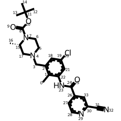 Cc1c(CN2CCN(C(=O)OC(C)(C)C)[C@@H](C)C2)cc(Cl)cc1NC(=O)c1ccnc(C#N)c1